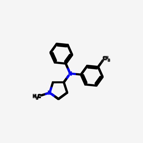 CN1CCC(N(c2ccccc2)c2cccc(C(F)(F)F)c2)C1